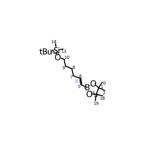 CC1(C)OB(/C=C/CCCCO[Si](C)(C)C(C)(C)C)OC1(C)C